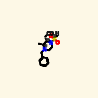 C[C@H]1[C@H](CC(=O)O)N(S(C)(=O)=O)CCN1Cc1ccccc1